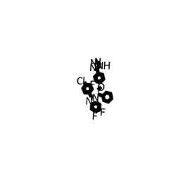 Fc1cc2nc(-c3ccc(Cl)cc3)n([C@H](COc3ccc(-c4nnn[nH]4)cc3F)C3CCCCC3)c2cc1F